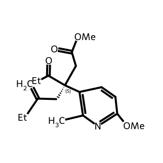 C=C(CC)C[C@@](CC(=O)OC)(C(=O)CC)c1ccc(OC)nc1C